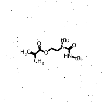 C=C(C)C(=O)OCCN(C(=O)NC(C)(C)C)C(C)(C)C